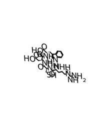 N=C(N)NCCC[C@H](N)C(=O)N[C@@H](CS)C(=O)N[C@@H](CC(=O)O)C(=O)N[C@@H](Cc1c[nH]c2ccccc12)C(=O)O